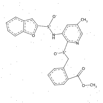 COC(=O)c1ccccc1C[S+]([O-])c1ncc(C)cc1N[S+]([O-])c1cc2ccccc2o1